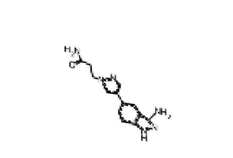 NC(=O)CCn1cc(-c2ccc3[nH]nc(N)c3c2)cn1